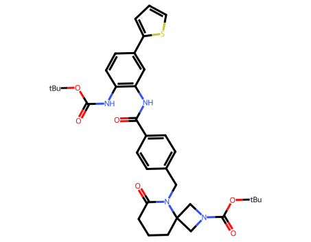 CC(C)(C)OC(=O)Nc1ccc(-c2cccs2)cc1NC(=O)c1ccc(CN2C(=O)CCCC23CN(C(=O)OC(C)(C)C)C3)cc1